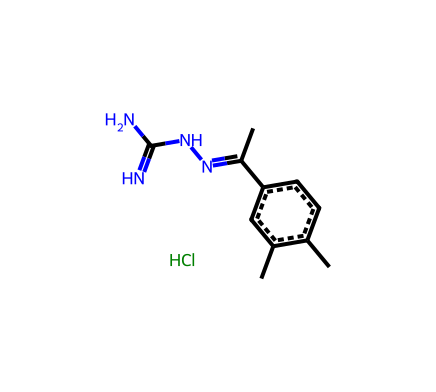 CC(=NNC(=N)N)c1ccc(C)c(C)c1.Cl